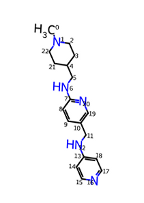 CN1CCC(CNc2ccc(CNc3ccncc3)cn2)CC1